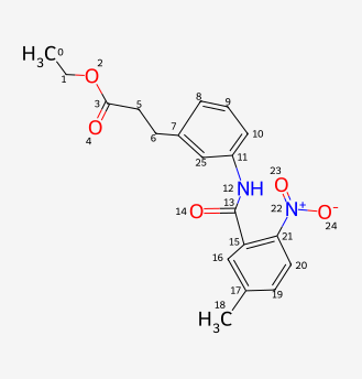 CCOC(=O)CCc1cccc(NC(=O)c2cc(C)ccc2[N+](=O)[O-])c1